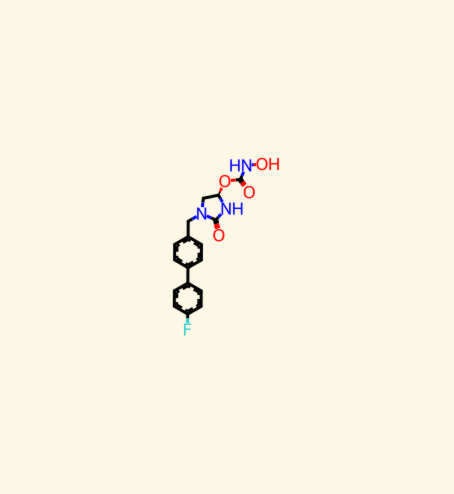 O=C(NO)O[C@@H]1CN(Cc2ccc(-c3ccc(F)cc3)cc2)C(=O)N1